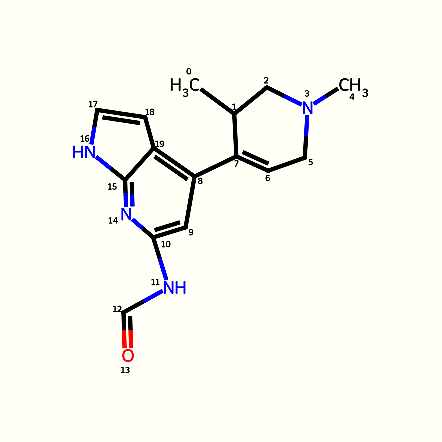 CC1CN(C)CC=C1c1cc(NC=O)nc2[nH]ccc12